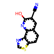 N#Cc1cc2ccc3scnc3c2nc1O